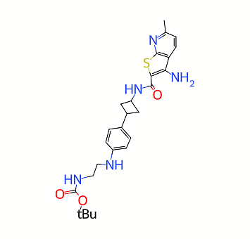 Cc1ccc2c(N)c(C(=O)NC3CC(c4ccc(NCCNC(=O)OC(C)(C)C)cc4)C3)sc2n1